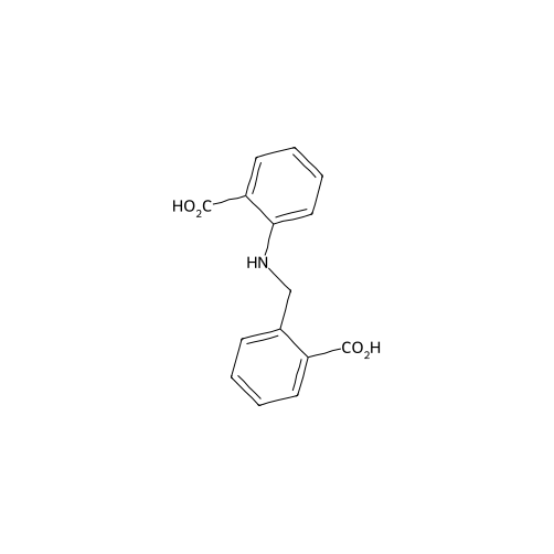 O=C(O)c1ccccc1CNc1ccccc1C(=O)O